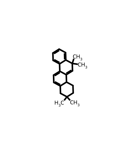 CC1(C)CCC2C(=CC=C3C2=CC(C)(C)c2ccccc23)C1